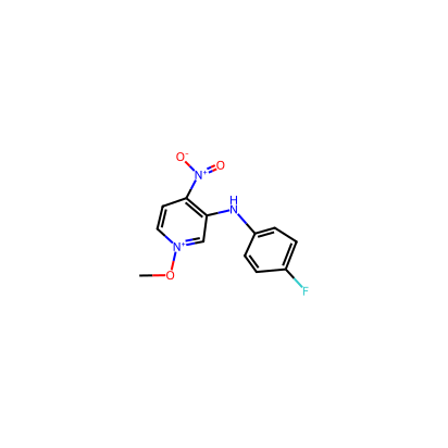 CO[n+]1ccc([N+](=O)[O-])c(Nc2ccc(F)cc2)c1